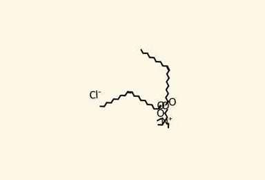 CCCCCCCC/C=C\CCCCCCCC(=O)OCC(C[N+](CC)(CC)CC)OC(=O)CCCCCCC/C=C\CCCCCCCC.[Cl-]